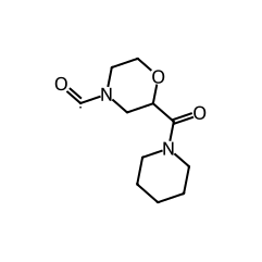 O=[C]N1CCOC(C(=O)N2CCCCC2)C1